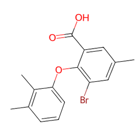 Cc1cc(Br)c(Oc2cccc(C)c2C)c(C(=O)O)c1